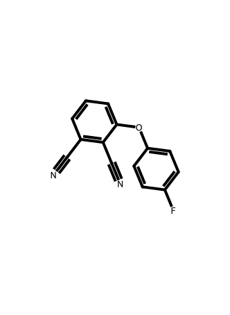 N#Cc1cccc(Oc2ccc(F)cc2)c1C#N